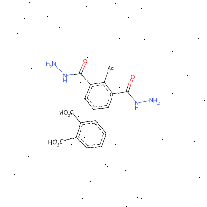 CC(=O)c1c(C(=O)NN)cccc1C(=O)NN.O=C(O)c1ccccc1C(=O)O